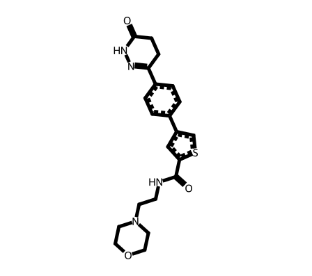 O=C1CCC(c2ccc(-c3csc(C(=O)NCCN4CCOCC4)c3)cc2)=NN1